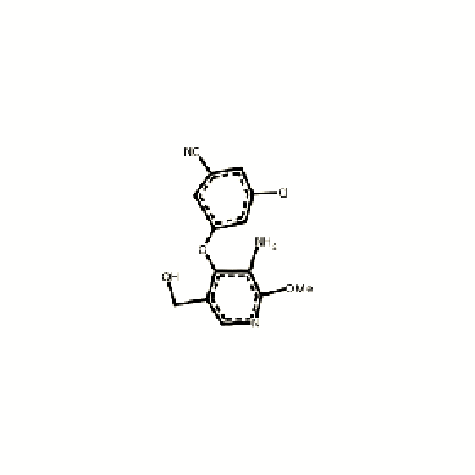 COc1ncc(CO)c(Oc2cc(Cl)cc(C#N)c2)c1N